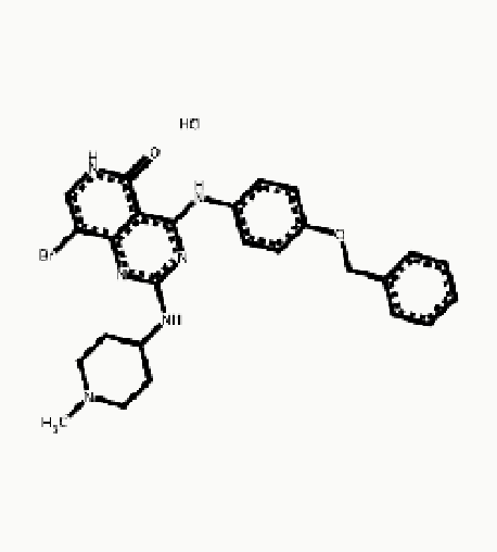 CN1CCC(Nc2nc(Nc3ccc(OCc4ccccc4)cc3)c3c(=O)[nH]cc(Br)c3n2)CC1.Cl